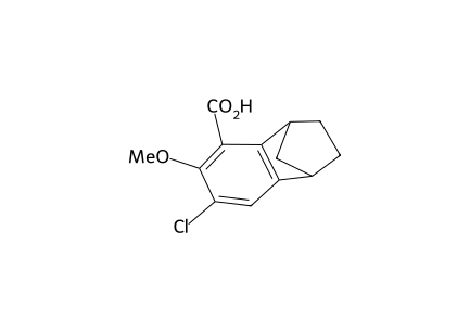 COc1c(Cl)cc2c(c1C(=O)O)C1CCC2C1